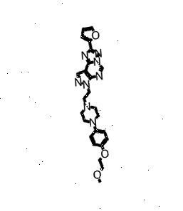 COCCOc1ccc(N2CCN(CCn3ncc4c3ncn3nc(-c5ccco5)nc43)CC2)cc1